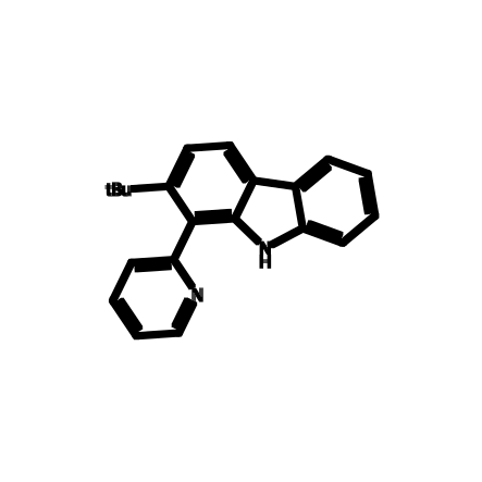 CC(C)(C)c1ccc2c([nH]c3ccccc32)c1-c1ccccn1